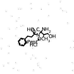 CCCCCON(C(=O)CCc1ccccc1)[C@](N)(C(=O)O)[C@H](C)CO.Cl